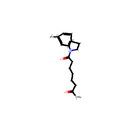 COC(=O)CCCCCC(=O)N1CCc2ccc(C(C)C)cc21